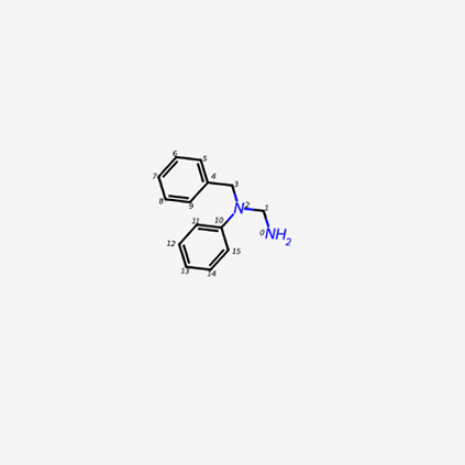 NCN(Cc1ccccc1)c1ccccc1